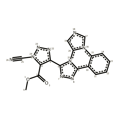 COC(=O)c1c(-c2nnc3c4ccccc4n4cncc4n23)nnn1C#N